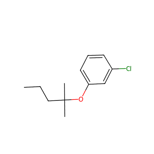 CCCC(C)(C)Oc1cccc(Cl)c1